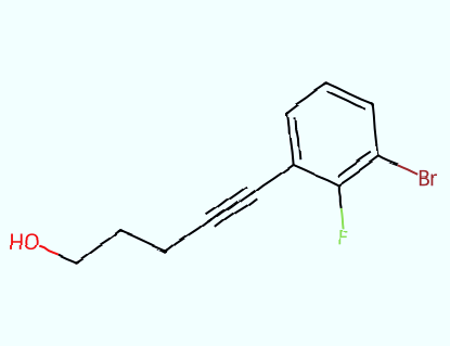 OCCCC#Cc1cccc(Br)c1F